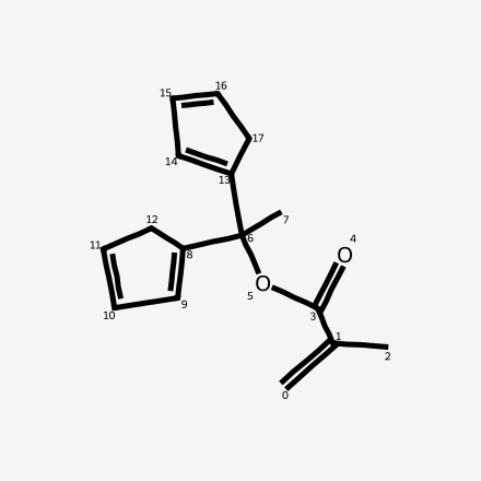 C=C(C)C(=O)OC(C)(C1=CC=CC1)C1=CC=CC1